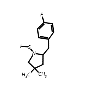 CC1(C)CC(Cc2ccc(F)cc2)N(SI)C1